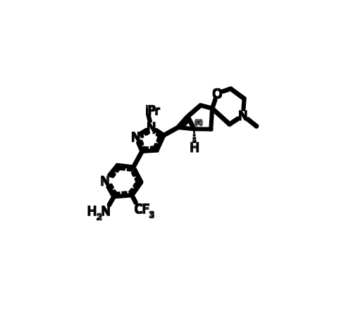 CC(C)n1nc(-c2cnc(N)c(C(F)(F)F)c2)cc1C1=C2CC3(C[C@H]21)CN(C)CCO3